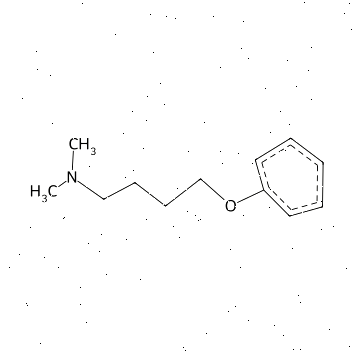 CN(C)CCCCOc1ccccc1